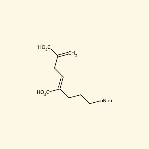 C=C(CC=C(CCCCCCCCCCCC)C(=O)O)C(=O)O